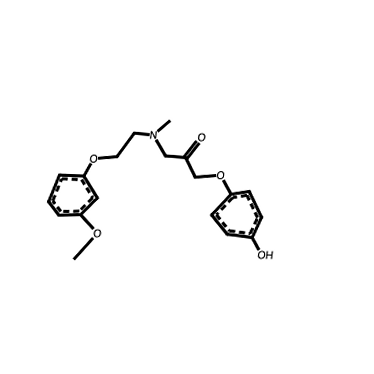 COc1cccc(OCCN(C)CC(=O)COc2ccc(O)cc2)c1